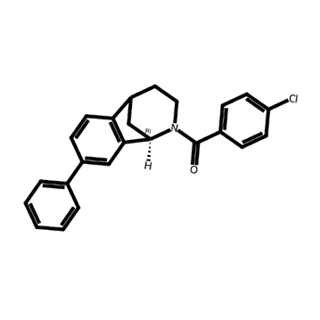 O=C(c1ccc(Cl)cc1)N1CCC2C[C@@H]1c1cc(-c3ccccc3)ccc12